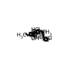 CCCc1ccc(S(=O)(=O)c2ccc(C[C@@H](C)NC[C@@H](O)c3cccc(Cl)c3)cc2)c(C(=O)O)c1.Cl